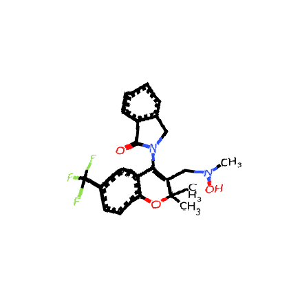 CN(O)CC1=C(N2Cc3ccccc3C2=O)c2cc(C(F)(F)F)ccc2OC1(C)C